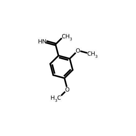 COc1ccc(C(C)=N)c(OC)c1